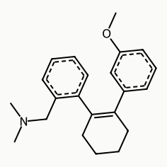 COc1cccc(C2=C(c3ccccc3CN(C)C)CCCC2)c1